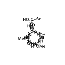 CNC(=O)C[C@@H]1NC(=O)c2csc(n2)-c2ccc(-c3nc(NC(=O)OCCC(CCCCC(C)=O)C(=O)O)cs3)nc2-c2csc(n2)-c2csc(n2)[C@H]([C@@H](O)c2ccccc2)NC(=O)CNC(=O)c2nc(sc2COC)C(C(C)C)NC(=O)c2nc1sc2C